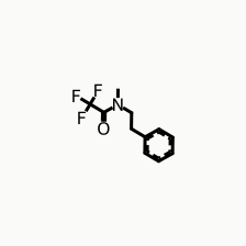 CN(CCc1ccccc1)C(=O)C(F)(F)F